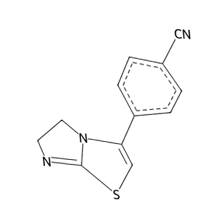 N#Cc1ccc(C2=CSC3=NCCN23)cc1